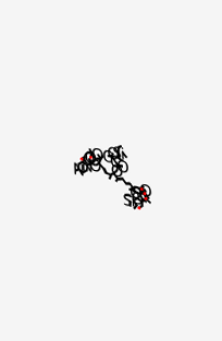 CCOC(C)OC1(C)CCC(O[Si](CC)(CC)CC)CC(=O)OC(/C(C)=C/C=C/C(C)(CC2OC2C(C)C(CC)O[Si](CC)(CC)CC)O[Si](CC)(CC)CC)C(C)/C=C/C1OC(=O)N1CCN(C)CC1